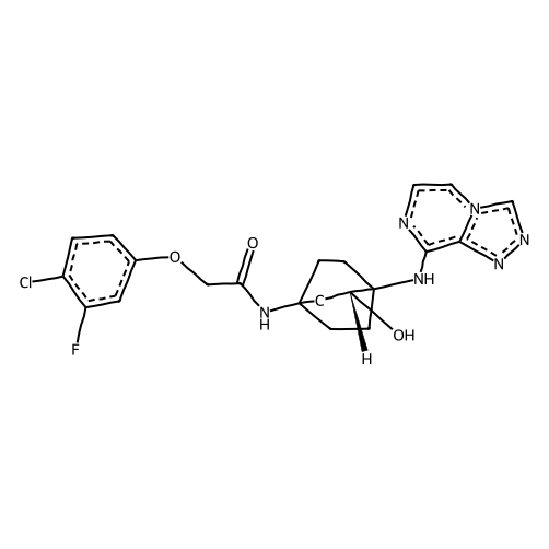 O=C(COc1ccc(Cl)c(F)c1)NC12CCC(Nc3nccn4cnnc34)(CC1)[C@H](O)C2